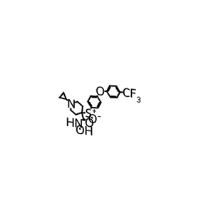 O=C(NO)C1([S+]([O-])c2ccc(Oc3ccc(C(F)(F)F)cc3)cc2)CCN(C2CC2)CC1